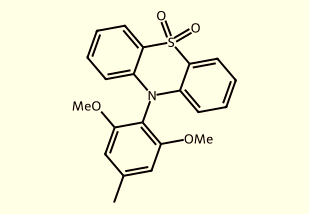 COc1cc(C)cc(OC)c1N1c2ccccc2S(=O)(=O)c2ccccc21